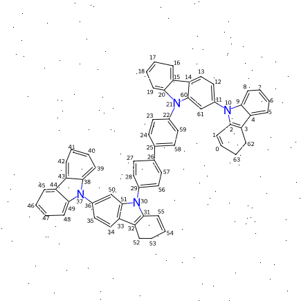 C1=Cc2c(c3ccccc3n2-c2ccc3c4ccccc4n(-c4ccc(-c5ccc(-n6c7c(c8ccc(-n9c%10ccccc%10c%10ccccc%109)cc86)CCC=C7)cc5)cc4)c3c2)CC1